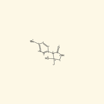 CC(C)(C)c1ccc(N2C(=O)NCC2(C)O)nn1